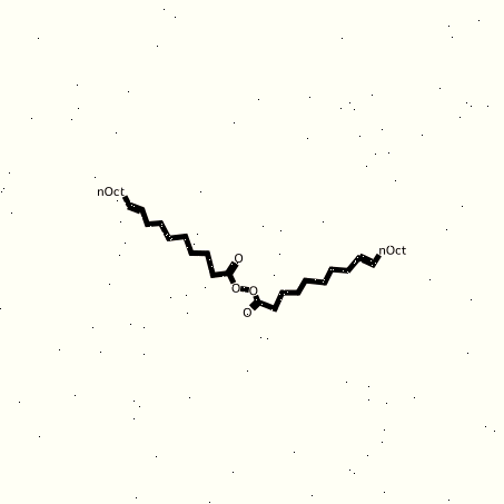 CCCCCCCCC=CCCCCCCCC(=O)OOC(=O)CCCCCCCC=CCCCCCCCC